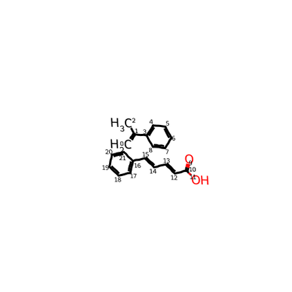 C=C(C)c1ccccc1.O=C(O)C=CC=Cc1ccccc1